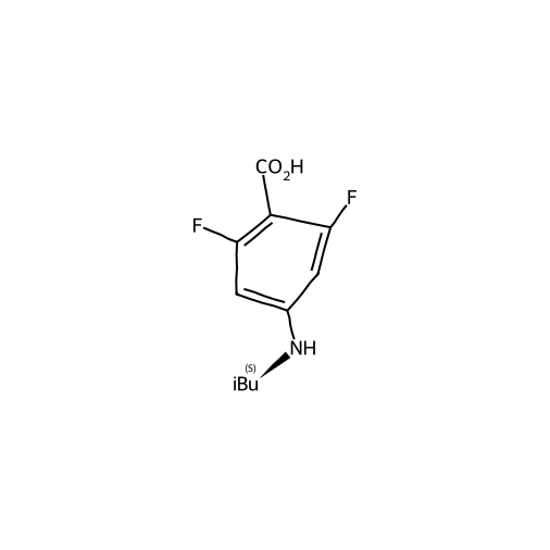 CC[C@H](C)Nc1cc(F)c(C(=O)O)c(F)c1